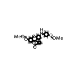 COCOc1ccc(Nc2ccc3c(c2)Oc2cc(OCOC)ccc2C32OC(=O)c3ccccc32)cc1